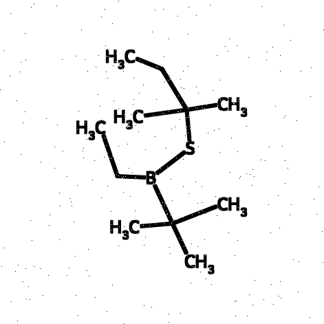 CCB(SC(C)(C)CC)C(C)(C)C